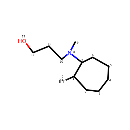 CC(C)C1CCCCCC1N(C)CCCO